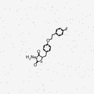 NN1C(=O)SC(Cc2ccc(OCCc3ccc(F)cc3)cc2)C1=O